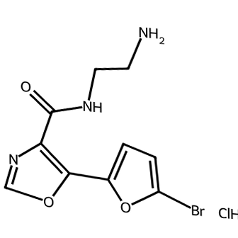 Cl.NCCNC(=O)c1ncoc1-c1ccc(Br)o1